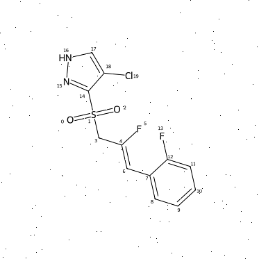 O=S(=O)(CC(F)=Cc1ccccc1F)c1n[nH]cc1Cl